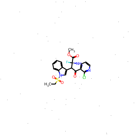 CCS(=O)(=O)n1cc(C(C(=O)c2cccnc2Cl)[C@](N)(F)C(=O)OC)c2ccccc21